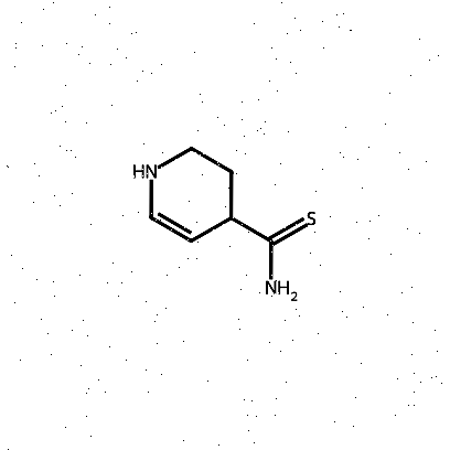 NC(=S)C1C=CNCC1